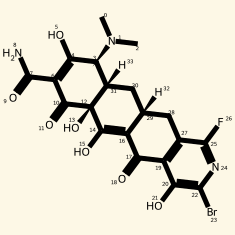 CN(C)[C@@H]1C(O)=C(C(N)=O)C(=O)[C@@]2(O)C(O)=C3C(=O)c4c(O)c(Br)nc(F)c4C[C@H]3C[C@@H]12